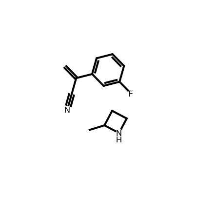 C=C(C#N)c1cccc(F)c1.CC1CCN1